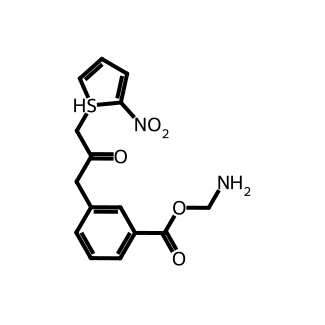 NCOC(=O)c1cccc(CC(=O)C[SH]2C=CC=C2[N+](=O)[O-])c1